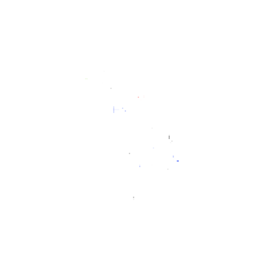 CCCN(C(=O)CC[C@@H](CC(C)(F)F)NC(=O)c1cccc(F)c1)c1ccnc(C)n1